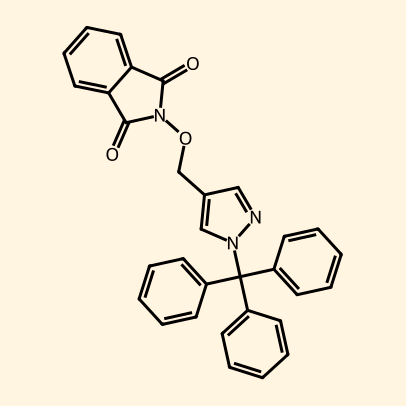 O=C1c2ccccc2C(=O)N1OCc1cnn(C(c2ccccc2)(c2ccccc2)c2ccccc2)c1